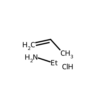 C=CC.CCN.Cl